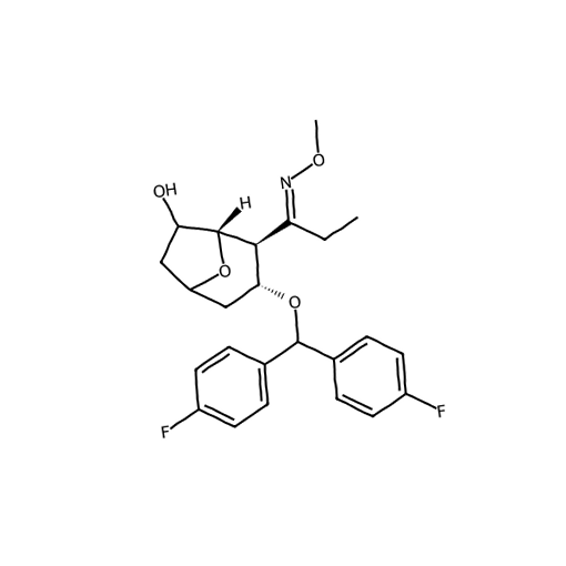 CCC(=NOC)[C@@H]1[C@@H]2OC(CC2O)C[C@H]1OC(c1ccc(F)cc1)c1ccc(F)cc1